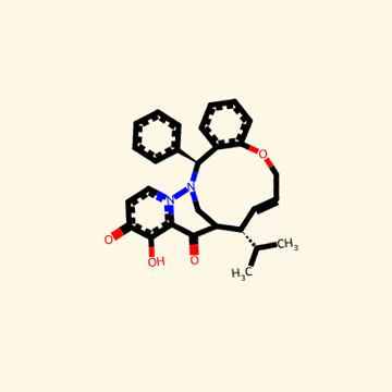 CC(C)[C@H]1/C=C/COc2ccccc2[C@H](c2ccccc2)N2CC1C(=O)c1c(O)c(=O)ccn12